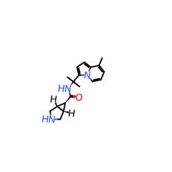 Cc1cccn2c(C(C)(C)NC(=O)[C@H]3[C@@H]4CNC[C@@H]43)ccc12